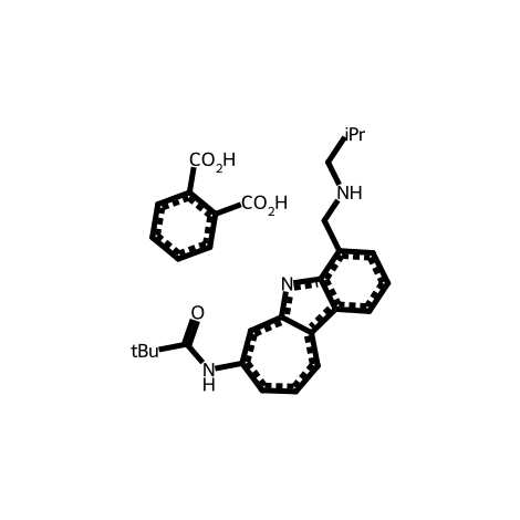 CC(C)CNCc1cccc2c3cccc(NC(=O)C(C)(C)C)cc-3nc12.O=C(O)c1ccccc1C(=O)O